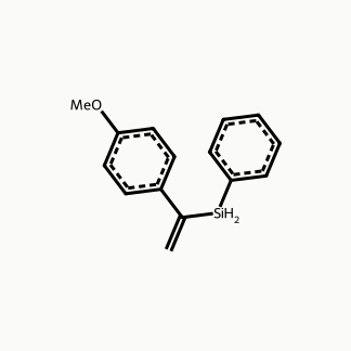 C=C([SiH2]c1ccccc1)c1ccc(OC)cc1